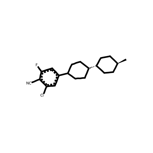 C[C@H]1CC[C@H](C2CCC(c3cc(F)c(C#N)c(Cl)c3)CC2)CC1